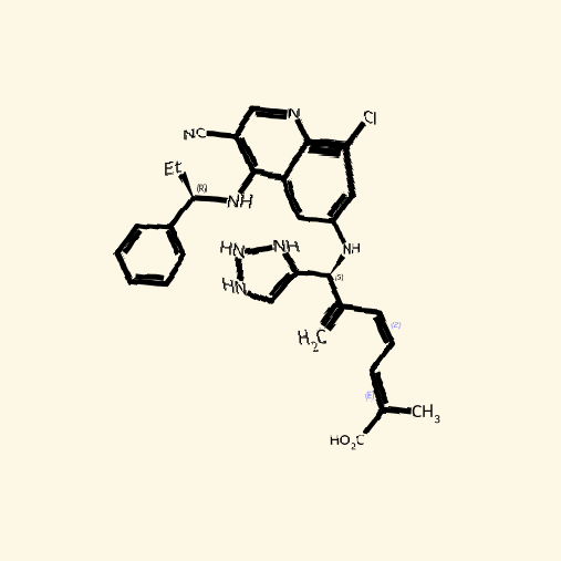 C=C(/C=C\C=C(/C)C(=O)O)[C@H](Nc1cc(Cl)c2ncc(C#N)c(N[C@H](CC)c3ccccc3)c2c1)C1=CNNN1